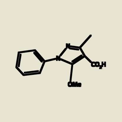 COc1c(C(=O)O)c(C)nn1-c1ccccc1